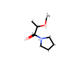 CC(C)OC(C)C(=O)N1CCCC1